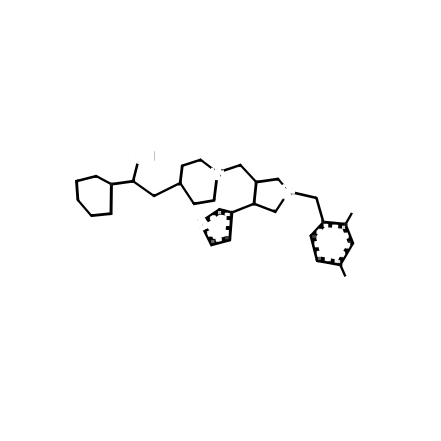 OC(CC1CCN(CC2CN(Cc3ccc(Cl)cc3Cl)CC2c2ccsc2)CC1)C1CCCCC1